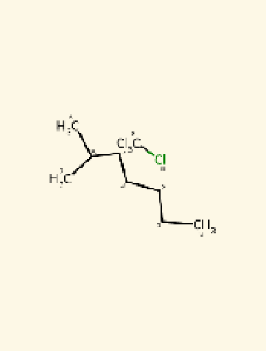 CCCCCC(C)C.ClC(Cl)(Cl)Cl